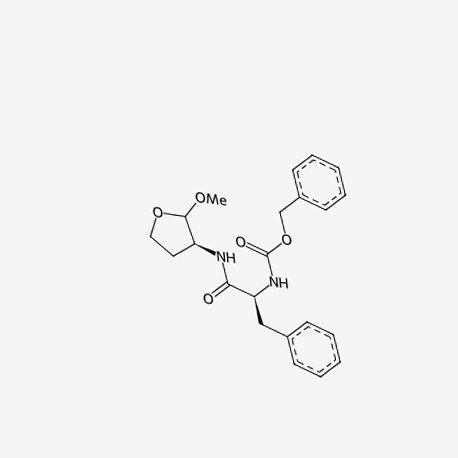 COC1OCC[C@@H]1NC(=O)[C@H](Cc1ccccc1)NC(=O)OCc1ccccc1